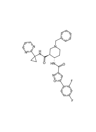 O=C(N[C@H]1CCN(Cc2ccccc2)C[C@@H]1C(=O)NC1(c2ncccn2)CC1)c1cc(-c2ccc(F)cc2F)on1